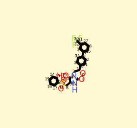 O=C(CN1C(=O)NC(CS(=O)(=O)c2ccccc2)C1O)c1ccc(-c2cccc(C(F)(F)F)c2)cc1